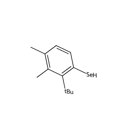 Cc1ccc([SeH])c(C(C)(C)C)c1C